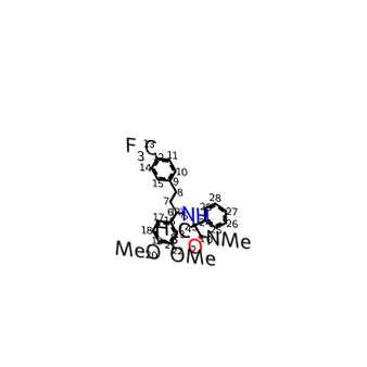 CNC(=O)C(C)(N[C@H](CCc1ccc(C(F)(F)F)cc1)c1ccc(OC)c(OC)c1)c1ccccc1